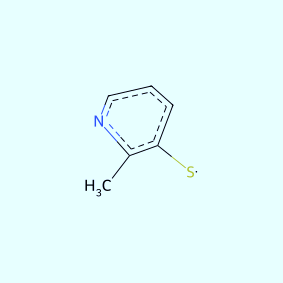 Cc1ncccc1[S]